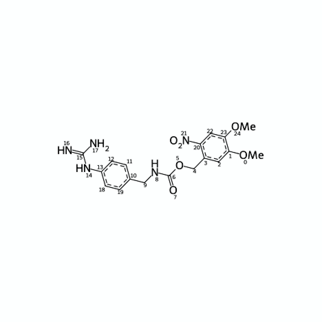 COc1cc(COC(=O)NCc2ccc(NC(=N)N)cc2)c([N+](=O)[O-])cc1OC